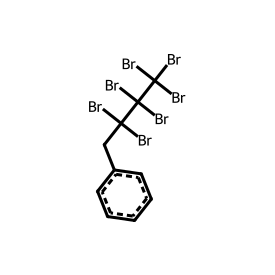 BrC(Br)(Br)C(Br)(Br)C(Br)(Br)Cc1ccccc1